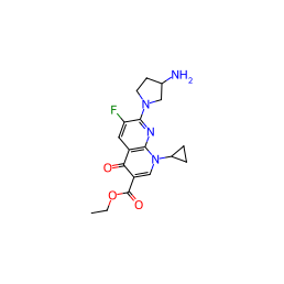 CCOC(=O)c1cn(C2CC2)c2nc(N3CCC(N)C3)c(F)cc2c1=O